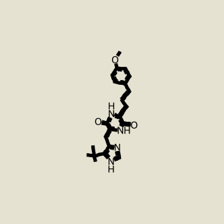 COc1ccc(/C=C/C=c2\[nH]c(=O)/c(=C/c3nc[nH]c3C(C)(C)C)[nH]c2=O)cc1